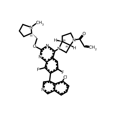 C=CC(=O)N1CC[C@@H]2[C@H]1CN2c1nc(OC[C@@H]2CCCN2C)nc2c(F)c(-c3cncc4cccc(Cl)c34)c(F)cc12